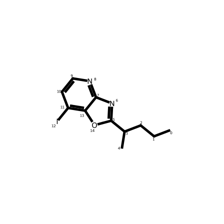 CCCC(C)c1nc2nccc(I)c2o1